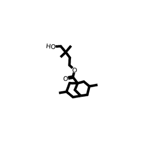 CC1CC2CC(C)CC(C(=O)OCCC(C)(C)CO)(C1)C2